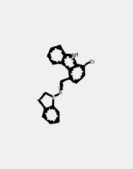 CCc1ccc(/C=N/N2CCc3ccccc32)c2c1[nH]c1ccccc12